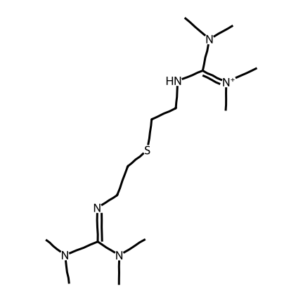 CN(C)C(=NCCSCCNC(N(C)C)=[N+](C)C)N(C)C